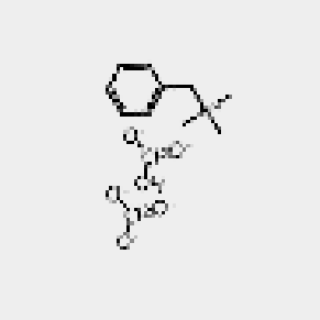 C[N+](C)(C)Cc1ccccc1.[O-][Cl+2]([O-])O.[O-][Cl+2]([O-])[O-]